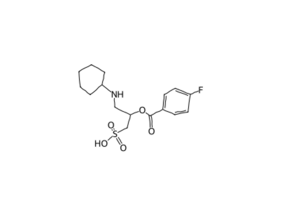 O=C(OC(CNC1CCCCC1)CS(=O)(=O)O)c1ccc(F)cc1